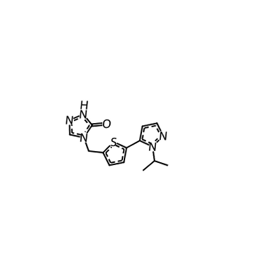 CC(C)n1nccc1-c1ccc(Cn2cn[nH]c2=O)s1